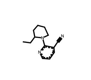 CCC1CCCCN1c1ncccc1C#N